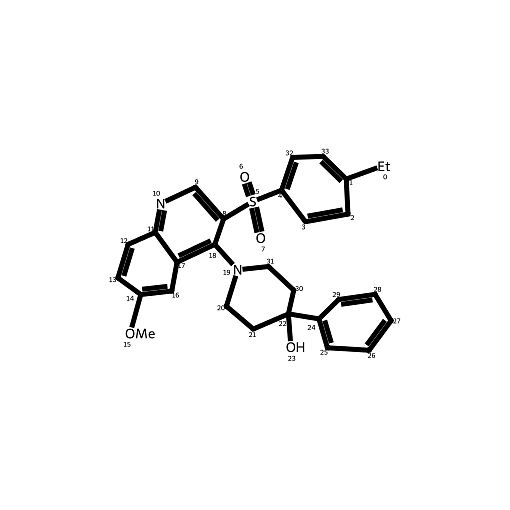 CCc1ccc(S(=O)(=O)c2cnc3ccc(OC)cc3c2N2CCC(O)(c3ccccc3)CC2)cc1